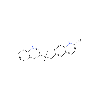 CC(C)(C)c1ccc2cc(CC(C)(C)c3cnc4ccccc4c3)ccc2n1